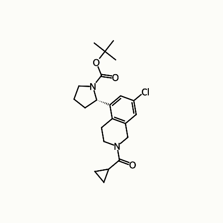 CC(C)(C)OC(=O)N1CCC[C@H]1c1cc(Cl)cc2c1CCN(C(=O)C1CC1)C2